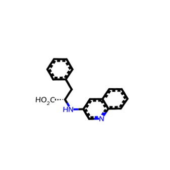 O=C(O)[C@H](Cc1ccccc1)Nc1cnc2ccccc2c1